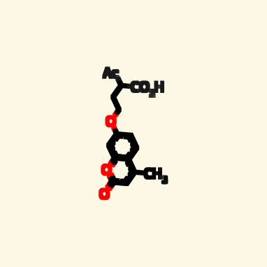 CC(=O)C(CCOc1ccc2c(C)cc(=O)oc2c1)C(=O)O